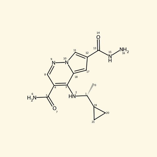 C[C@@H](Nc1c(C(N)=O)cnn2cc(C(=O)NN)cc12)C1CC1